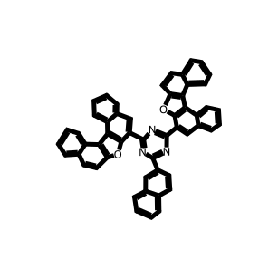 c1ccc2cc(-c3nc(-c4cc5ccccc5c5c4oc4ccc6ccccc6c45)nc(-c4cc5ccccc5c5c4oc4ccc6ccccc6c45)n3)ccc2c1